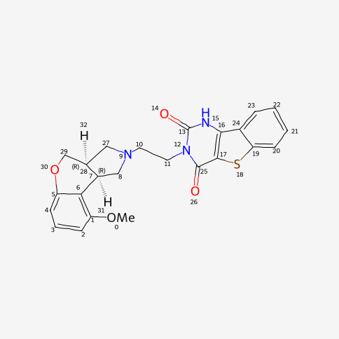 COc1cccc2c1[C@@H]1CN(CCn3c(=O)[nH]c4c(sc5ccccc54)c3=O)C[C@@H]1CO2